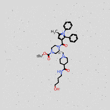 Cc1cc(C(=O)N2CCN(C(=O)OC(C)(C)C)C[C@H]2CN2CCC(C(=O)NCCCCO)CC2)c(-c2ccccc2)n1-c1ccccc1